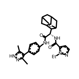 CCn1nccc1C(=O)N[C@H](C(=O)Nc1ccc(-c2c(C)n[nH]c2C)cc1)C1C2CC3CC(C2)CC1C3